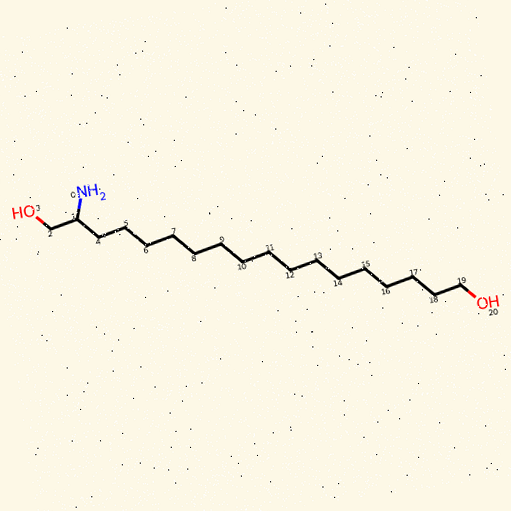 NC(CO)CCCCCCCCCCCCCCCCO